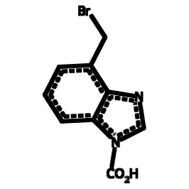 O=C(O)n1cnc2c(CBr)cccc21